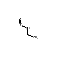 CCNP=O